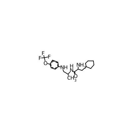 CC(CNc1ccc(OC(F)(F)F)cc1)NC(=O)C(N)CC1CCCCC1